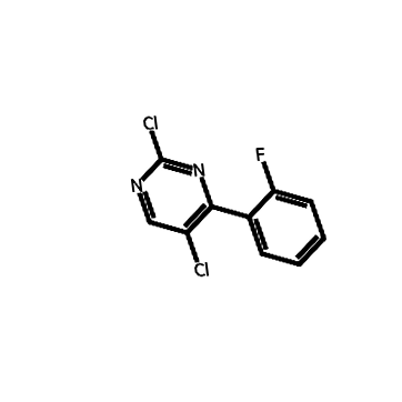 Fc1ccccc1-c1nc(Cl)ncc1Cl